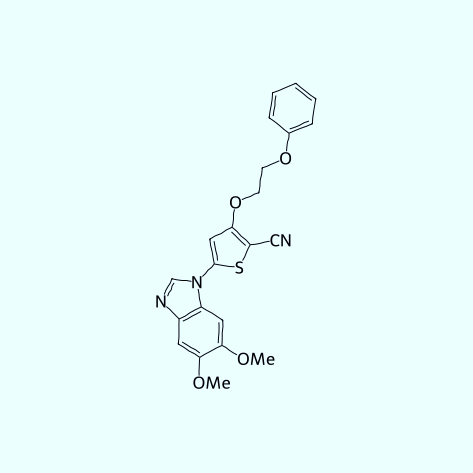 COc1cc2ncn(-c3cc(OCCOc4ccccc4)c(C#N)s3)c2cc1OC